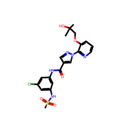 CC(C)(O)COc1cccnc1-n1cc(C(=O)Nc2cc(Cl)cc(NS(C)(=O)=O)c2)cn1